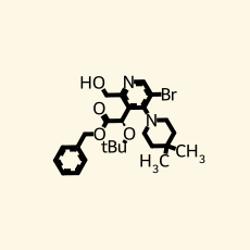 CC1(C)CCN(c2c(Br)cnc(CO)c2[C@H](OC(C)(C)C)C(=O)OCc2ccccc2)CC1